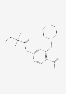 CCC(C)(C)C(=O)Nc1cc(CN2CCOCC2)c(C(=O)O)cn1